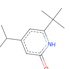 CC(C)c1cc(C(C)(C)C)[nH]c(=O)c1